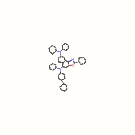 c1ccc(-c2ccc(N(c3ccccc3)c3cc4oc(-c5ccccc5)nc4c4cc(N(c5ccccc5)c5ccccc5)ccc34)cc2)cc1